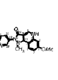 COc1ccc2c(c1)NC=C1C(=O)N(c3cccnc3)N(C)C12